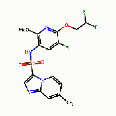 COc1nc(OCC(F)F)c(F)cc1NS(=O)(=O)c1cnc2cc(C(F)(F)F)ccn12